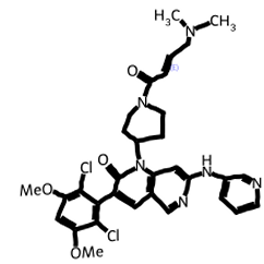 COc1cc(OC)c(Cl)c(-c2cc3cnc(Nc4cccnc4)cc3n(C3CCN(C(=O)/C=C/CN(C)C)CC3)c2=O)c1Cl